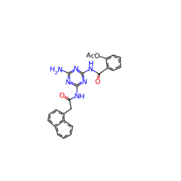 CC(=O)Oc1ccccc1C(=O)Nc1nc(N)nc(NC(=O)Cc2cccc3ccccc23)n1